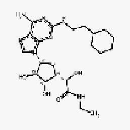 CCNC(=O)C(O)[C@H]1O[C@@H](n2cnc3c(N)nc(NCCC4CCCCC4)nc32)[C@H](O)[C@@H]1O